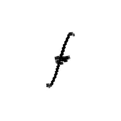 CCCCCCCCCCCC/C=C/CC(=O)N[C@@H](CS(=O)(=O)O)[C@H](O)/C=C/CCCCCCCCCCCCC